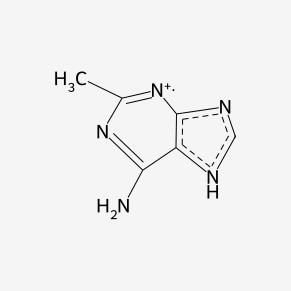 CC1=[N+]c2nc[nH]c2C(N)=N1